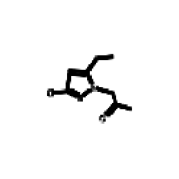 CCc1cc(Cl)nn1CC(C)=O